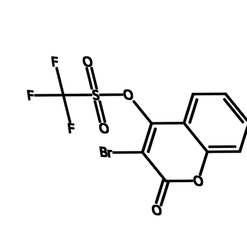 O=c1oc2ccccc2c(OS(=O)(=O)C(F)(F)F)c1Br